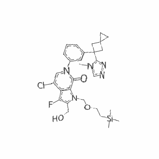 Cn1cnnc1C1(c2cccc(-n3cc(Cl)c4c(F)c(CO)n(COCC[Si](C)(C)C)c4c3=O)c2)CC2(CC2)C1